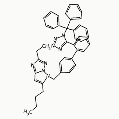 CCCCc1cc2nc(CC)nn2n1Cc1ccc(-c2ccccc2-c2nnnn2C(c2ccccc2)(c2ccccc2)c2ccccc2)cc1